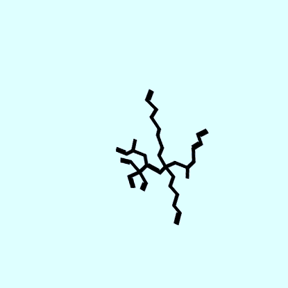 C=CC=CCC(C)CC(C=C(CC(C)C=C)C(C=C)(C=C)C=C)(CCCCC=C)CCCCCCC=C